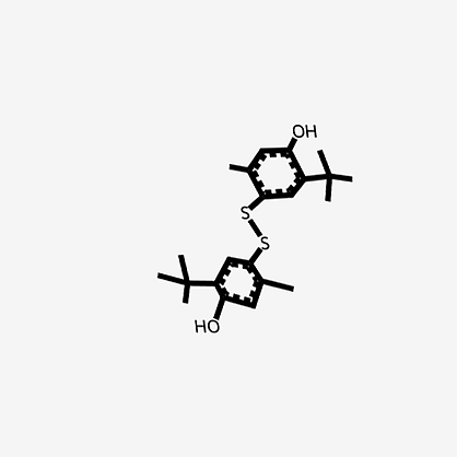 Cc1cc(O)c(C(C)(C)C)cc1SSc1cc(C(C)(C)C)c(O)cc1C